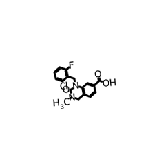 CN1Cc2ccc(C(=O)O)cc2N(Cc2c(F)cccc2Cl)C1=O